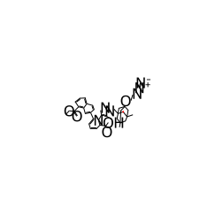 COC(=O)c1cccc2ccc(C3=CC=CC(C(=O)O)N3c3cnn(CC45CC6(C)CC(C)(C4)CC(OCCN=[N+]=[N-])(C6)C5)c3C)cc12